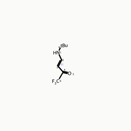 CC(C)(C)N/C=C/C(=O)C(F)(F)F